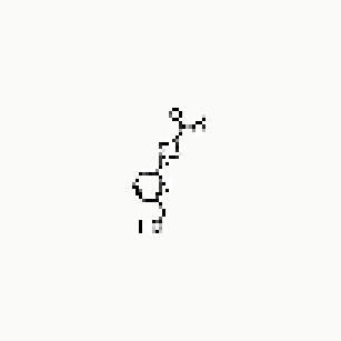 COC(=O)C1CN(c2cccc(CO)n2)C1